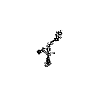 CC(C)(C)[C@H](NC(=O)c1cc2cc(C(F)(F)P(=O)(O)O)ccc2s1)C(=O)N1CCN(C(=O)CC(=O)NCC#Cc2ccc3c(c2)C(=O)N(C2CCC(=O)NC2=O)C3=O)C[C@H]1C(=O)N1CCO[C@H](c2ccccc2)C1